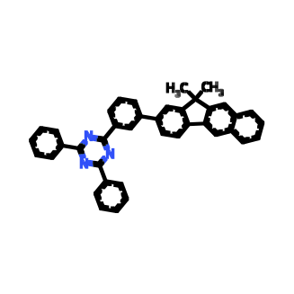 CC1(C)c2cc(-c3cccc(-c4nc(-c5ccccc5)nc(-c5ccccc5)n4)c3)ccc2-c2cc3ccccc3cc21